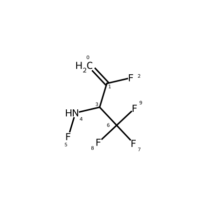 C=C(F)C(NF)C(F)(F)F